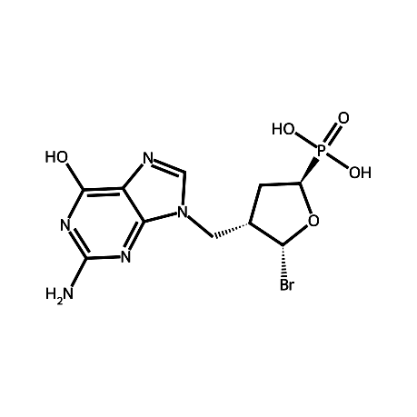 Nc1nc(O)c2ncn(C[C@@H]3C[C@@H](P(=O)(O)O)O[C@@H]3Br)c2n1